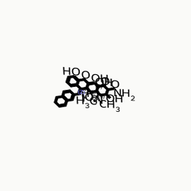 CN(C)[C@@H]1C(O)C(C(N)=O)C(=O)[C@@]2(O)C(O)=C3C(=O)c4c(O)cccc4/C(=C\c4ccc5c(c4)C=CCC5)[C@H]3[C@H](OI)[C@@H]12